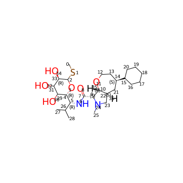 CSC1O[C@H]([C@H](NC(=O)[C@@H]2[C@@H]3OCC[C@@H](C4CCCCC4)C[C@H]3CN2C)C(C)C)C(O)C(O)[C@H]1O